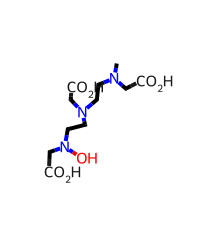 CN(CCN(CCN(O)CC(=O)O)CC(=O)O)CC(=O)O